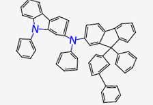 c1ccc(-c2cccc(C3(c4ccccc4)c4ccccc4-c4ccc(N(c5ccccc5)c5ccc6c7ccccc7n(-c7ccccc7)c6c5)cc43)c2)cc1